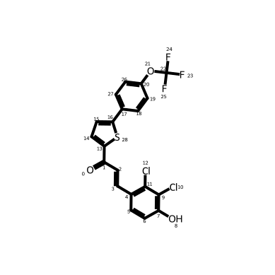 O=C(C=Cc1ccc(O)c(Cl)c1Cl)c1ccc(-c2ccc(OC(F)(F)F)cc2)s1